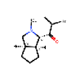 CC(C)C(C)C(=O)[C@@H]1[C@H]2CCC[C@H]2CN1C(C)(C)C